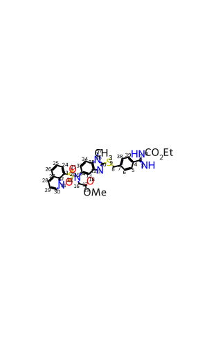 CCOC(=O)NC(=N)c1ccc(CSc2nc3cc(N(CC(=O)OC)S(=O)(=O)c4cccc5cccnc45)ccc3n2C)cc1